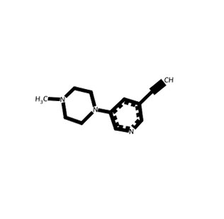 C#Cc1cncc(N2CCN(C)CC2)c1